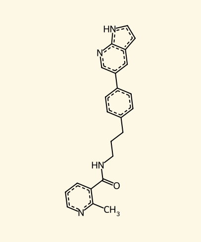 Cc1ncccc1C(=O)NCCCc1ccc(-c2cnc3[nH]ccc3c2)cc1